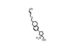 CCC/C=C/COCC1CCc2cc([C@H]3CC[C@](N)(CO)C3)ccc2C1